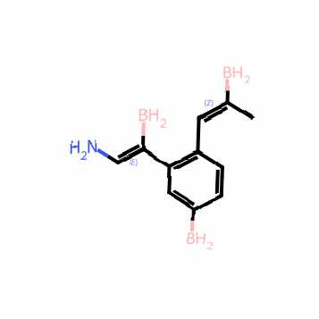 B/C(C)=C/c1ccc(B)cc1/C(B)=C/N